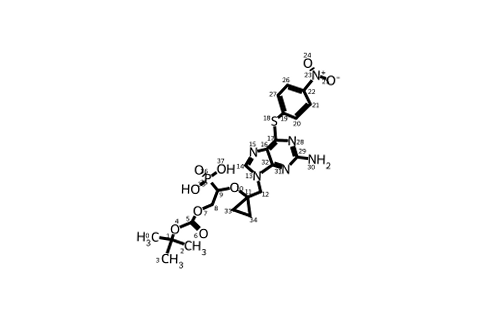 CC(C)(C)OC(=O)OCC(OC1(Cn2cnc3c(Sc4ccc([N+](=O)[O-])cc4)nc(N)nc32)CC1)P(=O)(O)O